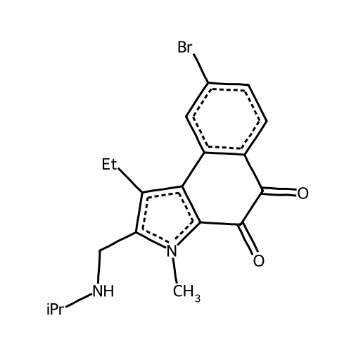 CCc1c2c(n(C)c1CNC(C)C)C(=O)C(=O)c1ccc(Br)cc1-2